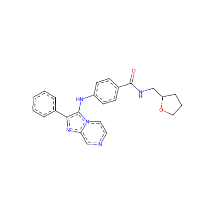 O=C(NCC1CCCO1)c1ccc(Nc2c(-c3ccccc3)nc3cnccn23)cc1